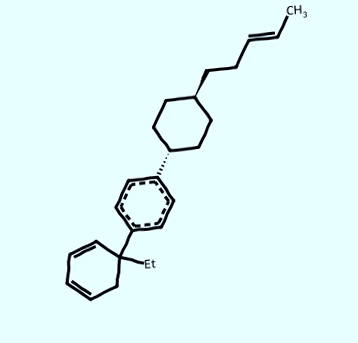 CC=CCC[C@H]1CC[C@H](c2ccc(C3(CC)C=CC=CC3)cc2)CC1